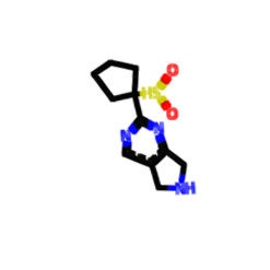 O=[SH](=O)C1(c2ncc3c(n2)CNC3)CCCC1